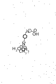 CC(C)(C)OC(=O)N1CC(c2ccc(CN3CCC(C(=O)O)C3)cc2)C1